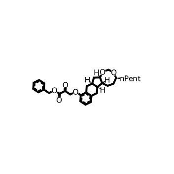 CCCCC[C@H]1CC[C@@H]2[C@H]3Cc4cccc(OCC(=O)C(=O)OCc5ccccc5)c4C[C@H]3C[C@H]2OCO1